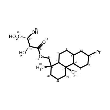 CC(C)C1CCC2C(CCC3[C@@](C)(COC(=O)[C@H](O)[C@@H](O)C(=O)O)CCC[C@@]23C)C1